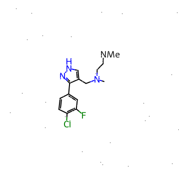 CNCCN(C)Cc1c[nH]nc1-c1ccc(Cl)c(F)c1